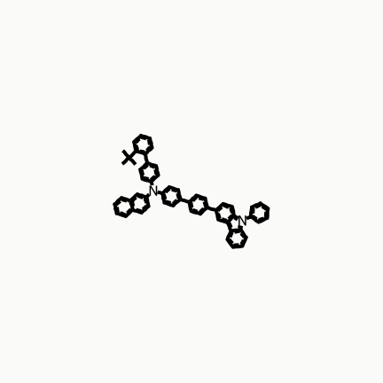 CC(C)(C)c1ccccc1-c1ccc(N(c2ccc(-c3ccc(-c4ccc5c(c4)c4ccccc4n5-c4ccccc4)cc3)cc2)c2ccc3ccccc3c2)cc1